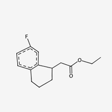 CCOC(=O)CC1CCCc2ccc(F)cc21